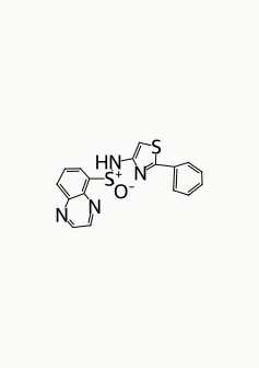 [O-][S+](Nc1csc(-c2ccccc2)n1)c1cccc2nccnc12